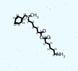 CN(CCCCCC(=O)OC(=O)CCCCCN)Cc1ccccc1